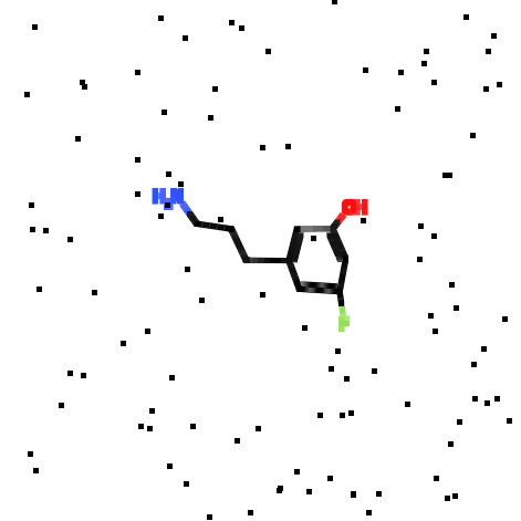 NCCCc1cc(O)cc(F)c1